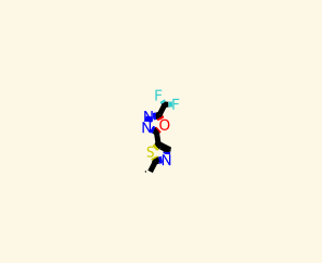 [CH2]c1ncc(-c2nnc(C(F)F)o2)s1